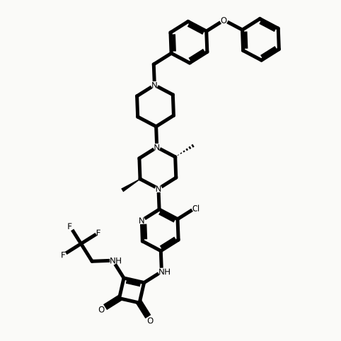 C[C@@H]1CN(c2ncc(Nc3c(NCC(F)(F)F)c(=O)c3=O)cc2Cl)[C@@H](C)CN1C1CCN(Cc2ccc(Oc3ccccc3)cc2)CC1